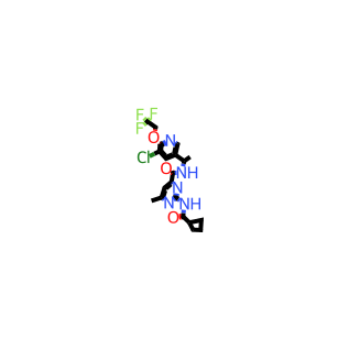 Cc1cc(C(=O)NC(C)c2cnc(OCC(F)(F)F)c(Cl)c2)nc(NC(=O)C2CCC2)n1